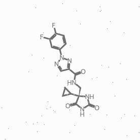 O=C1NC(=O)[C@](CNC(=O)c2cnn(-c3ccc(F)c(F)c3)n2)(C2CC2)N1